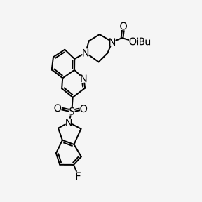 CC(C)COC(=O)N1CCN(c2cccc3cc(S(=O)(=O)N4Cc5ccc(F)cc5C4)cnc23)CC1